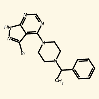 CC(c1ccccc1)N1CCN(c2ncnc3[nH]nc(Br)c23)CC1